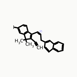 C#CC1=C(/C=C\Cc2ccc3ccccc3c2)c2ccc(I)cc2C1(C)C